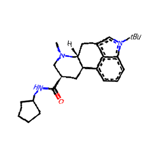 CN1C[C@H](C(=O)NC2CCCC2)CC2c3cccc4c3c(cn4C(C)(C)C)C[C@H]21